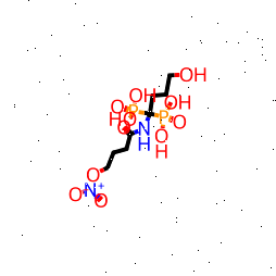 O=C(CCCO[N+](=O)[O-])NC(CCCO)(P(=O)(O)O)P(=O)(O)O